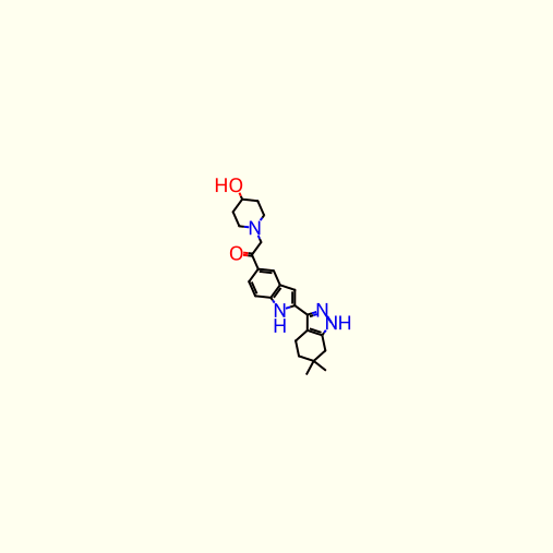 CC1(C)CCc2c(-c3cc4cc(C(=O)CN5CCC(O)CC5)ccc4[nH]3)n[nH]c2C1